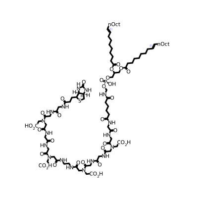 CCCCCCCC/C=C/CCCCCCCC(=O)OCC(COP(=O)(O)OCNC(=O)CCCCC(=O)NCC(=O)NCC(=O)N(CC(=O)O)CC(=O)NCC(=O)NCC(=O)N(CC(=O)O)CC(=O)NCCNC(=O)CN(CC(=O)O)C(=O)CNC(=O)CNC(=O)CN(CC(=O)O)C(=O)CNC(=O)CNC(=O)CCC1SC[C@@H]2NC(=O)N[C@H]12)OC(=O)CCCCCCC/C=C/CCCCCCCC